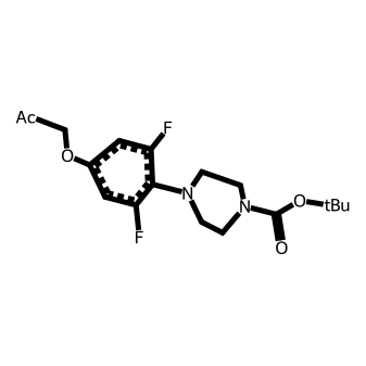 CC(=O)COc1cc(F)c(N2CCN(C(=O)OC(C)(C)C)CC2)c(F)c1